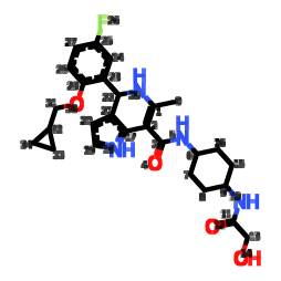 CC1=C(C(=O)NC2CCC(NC(=O)CO)CC2)c2[nH]ccc2C(c2cc(F)ccc2OCC2CC2)N1